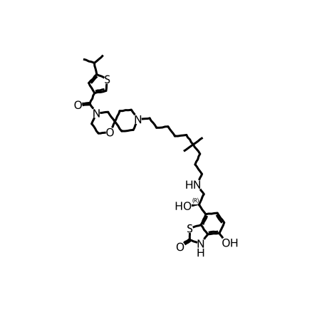 CC(C)c1cc(C(=O)N2CCOC3(CCN(CCCCCC(C)(C)CCCNC[C@H](O)c4ccc(O)c5[nH]c(=O)sc45)CC3)C2)cs1